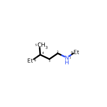 [CH2]CNCCC(C)CC